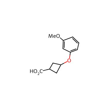 COc1cccc(OC2CC(C(=O)O)C2)c1